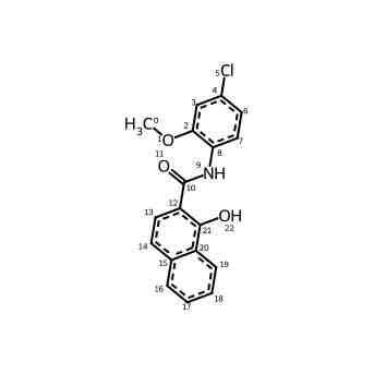 COc1cc(Cl)ccc1NC(=O)c1ccc2ccccc2c1O